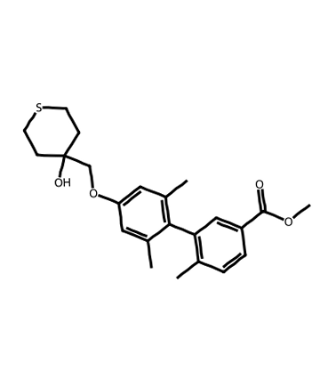 COC(=O)c1ccc(C)c(-c2c(C)cc(OCC3(O)CCSCC3)cc2C)c1